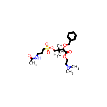 CC(=O)NCCCS(=O)(=O)OCC(C)(C)[C@@H](OCc1ccccc1)C(=O)OCCN(C)C